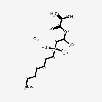 C=C(C)C(=O)OC(CCCCCCCCCC)C[N+](C)(C)CCCCCCCCCCCCCCCC.[Cl-]